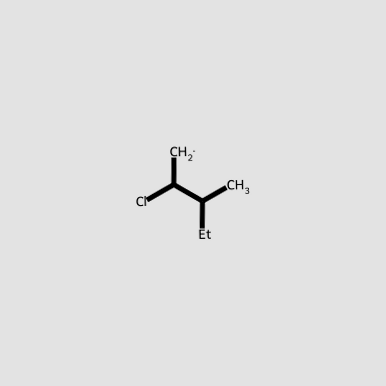 [CH2]C(Cl)C(C)CC